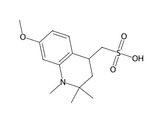 COc1ccc2c(c1)N(C)C(C)(C)CC2CS(=O)(=O)O